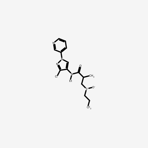 CCN(C(=O)C(C)C[S+]([O-])CCC(F)(F)F)c1cn(-c2cccnc2)nc1Cl